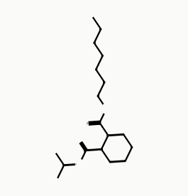 CCCCCCCOC(=O)C1CCCCC1C(=O)OC(C)C